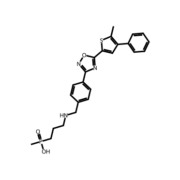 Cc1sc(-c2nc(-c3ccc(CNCCCP(C)(=O)O)cc3)no2)cc1-c1ccccc1